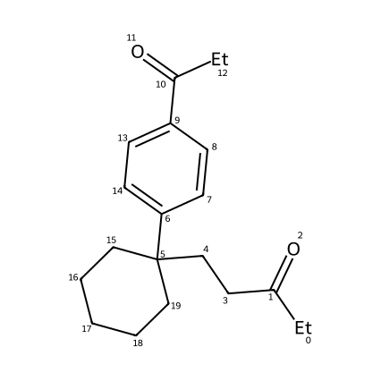 CCC(=O)CCC1(c2ccc(C(=O)CC)cc2)CCCCC1